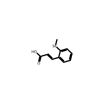 C[Se]c1ccccc1/C=C/C(=O)O